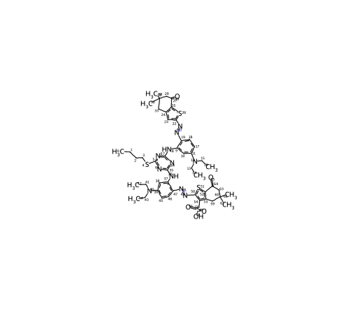 CCCCSc1nc(Nc2cc(N(CC)CC)ccc2/N=N/c2cc3c(s2)C(=O)CC(C)(C)C3)nc(Nc2cc(N(CC)CC)ccc2/N=N/c2sc3c(c2S(=O)(=O)O)CC(C)(C)CC3=O)n1